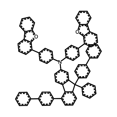 c1ccc(-c2ccc(-c3cccc4c3-c3ccc(N(c5ccc(-c6cccc7c6oc6ccccc67)cc5)c5ccc(-c6cccc7c6oc6ccccc67)cc5)cc3C4(c3ccccc3)c3ccc(-c4ccccc4)cc3)cc2)cc1